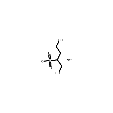 O=S(=O)([O-])C(CO)CCO.[Na+]